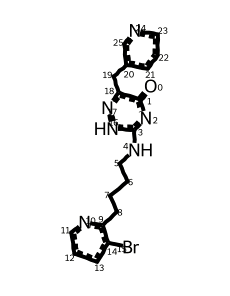 O=c1nc(NCCCCc2ncccc2Br)[nH]nc1Cc1cccnc1